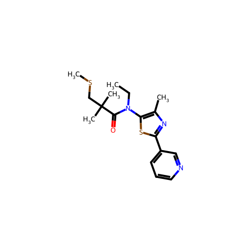 CCN(C(=O)C(C)(C)CSC)c1sc(-c2cccnc2)nc1C